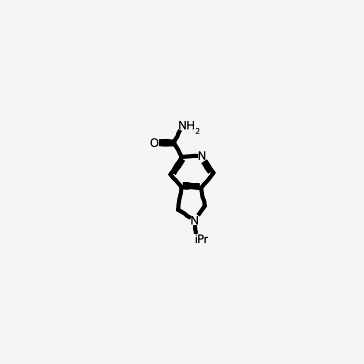 CC(C)N1Cc2cnc(C(N)=O)cc2C1